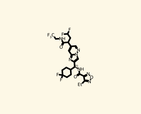 CCc1nonc1C(=O)N[C@H](c1cn2ncc(C(CC(F)F)C(=O)NCC(F)(F)F)cc2n1)C1CCC(F)(F)CC1